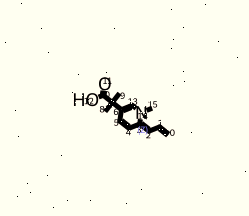 C=C/C=C1/C=CC(C(C)(C)C(=O)O)=CN1C